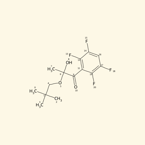 CC(C)(C)COC(C)(O)C(=O)c1c(F)c(F)cc(F)c1F